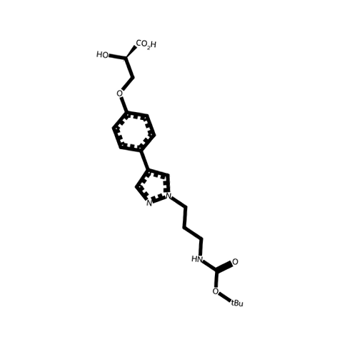 CC(C)(C)OC(=O)NCCCn1cc(-c2ccc(OC[C@@H](O)C(=O)O)cc2)cn1